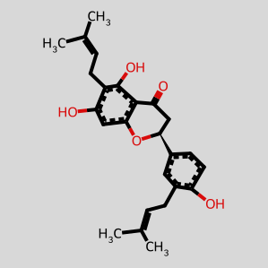 CC(C)=CCc1cc([C@@H]2CC(=O)c3c(cc(O)c(CC=C(C)C)c3O)O2)ccc1O